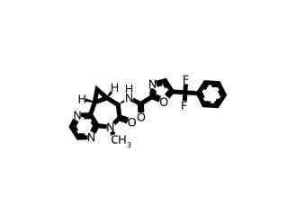 CN1C(=O)[C@@H](NC(=O)c2ncc(C(F)(F)c3ccccc3)o2)[C@H]2C[C@H]2c2nccnc21